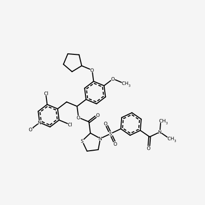 COc1ccc(C(Cc2c(Cl)c[n+]([O-])cc2Cl)OC(=O)C2SCCN2S(=O)(=O)c2cccc(C(=O)N(C)C)c2)cc1OC1CCCC1